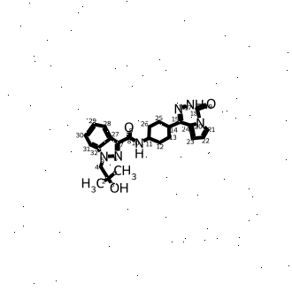 CC(C)(O)Cn1nc(C(=O)NC2CCC(c3n[nH]c(=O)n4cccc34)CC2)c2ccccc21